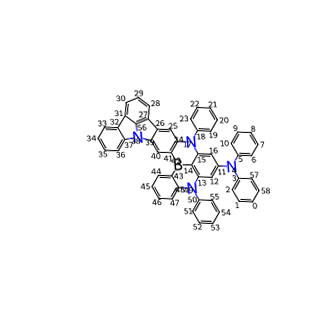 c1ccc(N(c2ccccc2)c2cc3c4c(c2)N(c2ccccc2)c2cc5c6cccc7c8ccccc8n(c5cc2B4c2ccccc2N3c2ccccc2)c76)cc1